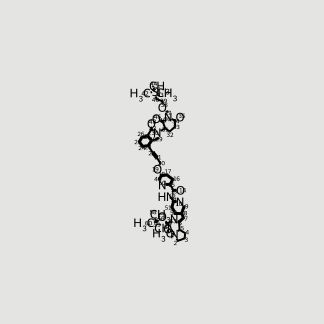 CN1CCCC1c1cc2cnc(NC(=O)c3ccc(OCC#Cc4cccc5c4CN(C4CCC(=O)N(COCC[Si](C)(C)C)C4=O)C5=O)cn3)cc2n1C(=O)OC(C)(C)C